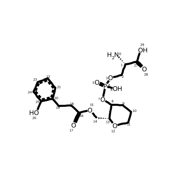 N[C@@H](COP(=O)(O)OC1CCCO[C@@H]1COC(=O)CCc1ccccc1O)C(=O)O